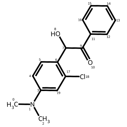 CN(C)c1ccc(C(O)C(=O)c2ccccc2)c(Cl)c1